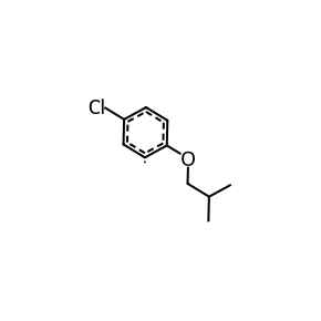 CC(C)COc1[c]cc(Cl)cc1